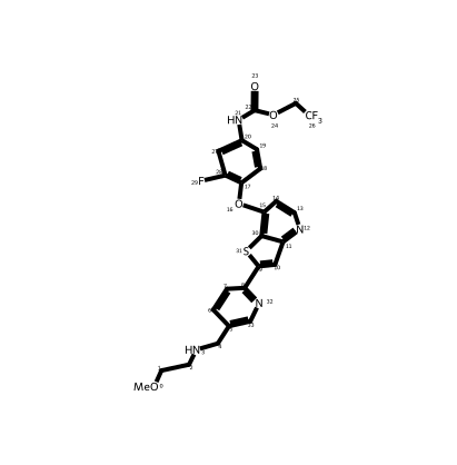 COCCNCc1ccc(-c2cc3nccc(Oc4ccc(NC(=O)OCC(F)(F)F)cc4F)c3s2)nc1